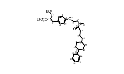 CCOC(=O)[C@H](Cc1ccc(OCCN(C)C(=O)CCCC2CCC(c3ccccc3)CC2)cc1)OCC